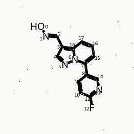 ON=Cc1cnn2c(-c3ccc(F)nc3)cccc12